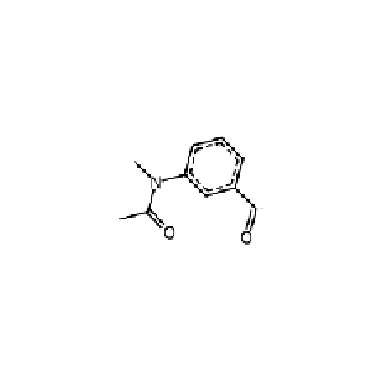 CC(=O)N(C)c1cccc([C]=O)c1